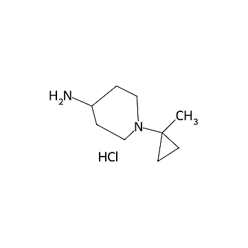 CC1(N2CCC(N)CC2)CC1.Cl